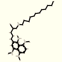 CCCCCCCCCCCCOCC(C)CCCc1cc(OC)c2c(OC)ccc(OC)c2c1OC